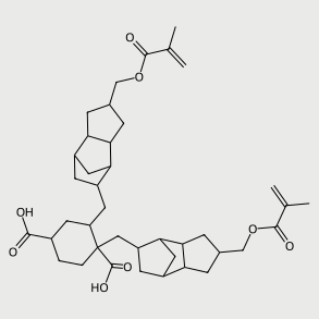 C=C(C)C(=O)OCC1CC2C3CC(CC4CC(C(=O)O)CCC4(CC4CC5CC4C4CC(COC(=O)C(=C)C)CC54)C(=O)O)C(C3)C2C1